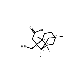 C[C@]12CC[C@@H]3[C@H](C1)[C@H](C2)[C@]3(CN)CC(=O)O